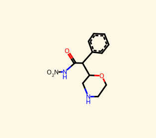 O=C(N[N+](=O)[O-])C(c1ccccc1)C1CNCCO1